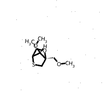 COC[C@@]12CSC([C@H](C)O1)[C@@H]2OC